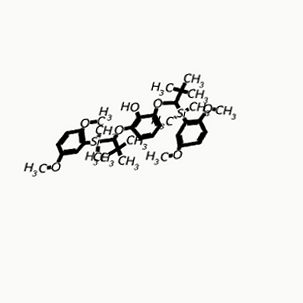 COc1ccc(OC)c([Si](C)(C)C(Oc2cccc(OC(C(C)(C)C)[Si](C)(C)c3cc(OC)ccc3OC)c2O)C(C)(C)C)c1